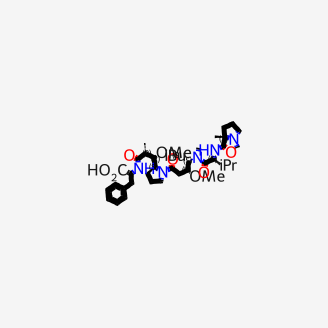 CC[C@H](C)[C@@H]([C@@H](CC(=O)N1CCC[C@H]1[C@H](OC)[C@@H](C)C(=O)NC(Cc1ccccc1)C(=O)O)OC)N(C)C(=O)[C@@H](NC(=O)[C@]1(C)CCCN1C)C(C)C